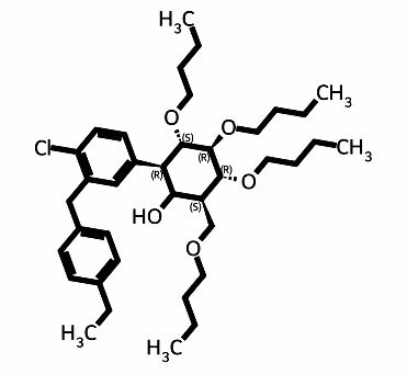 CCCCOC[C@H]1C(O)[C@@H](c2ccc(Cl)c(Cc3ccc(CC)cc3)c2)[C@H](OCCCC)[C@@H](OCCCC)[C@@H]1OCCCC